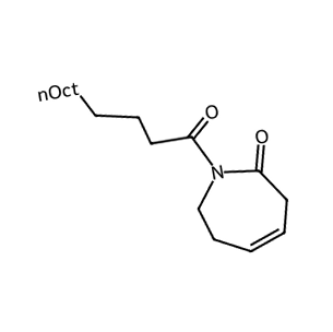 CCCCCCCCCCCC(=O)N1CCC=CCC1=O